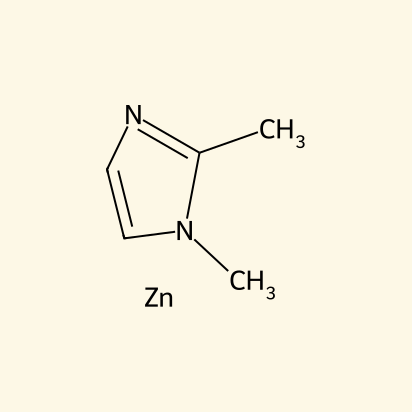 Cc1nccn1C.[Zn]